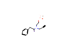 C#CCN(CCOS(C)(=O)=O)C(I)Cc1ccccc1